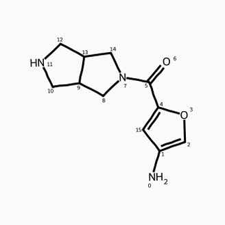 Nc1coc(C(=O)N2CC3CNCC3C2)c1